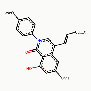 CCOC(=O)/C=C/c1cn(-c2ccc(OC)cc2)c(=O)c2c(O)cc(OC)cc12